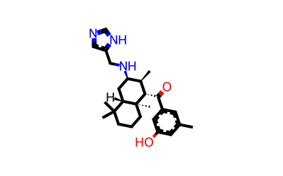 Cc1cc(O)cc(C(=O)[C@H]2[C@H](C)[C@H](NCc3cnc[nH]3)C[C@H]3C(C)(C)CCC[C@]23C)c1